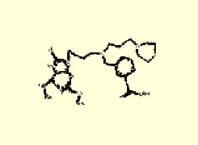 CCCCOc1nc(NC(C)(C)C)c2[nH]c(=O)n(CCCN(CCCN3CCOCC3)Cc3cccc(C(=O)OC)c3)c2n1